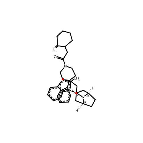 Cc1nc2ccccc2n1[C@H]1C[C@H]2CC[C@@H](C1)N2CCC1(c2ccccc2)CCN(C(=O)CC2CCCCC2=O)CC1